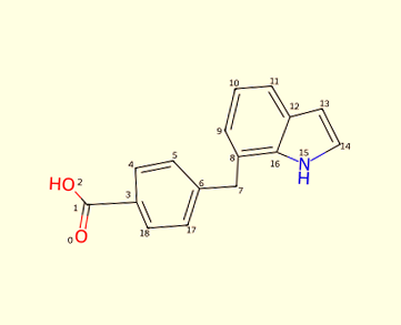 O=C(O)c1ccc(Cc2cccc3cc[nH]c23)cc1